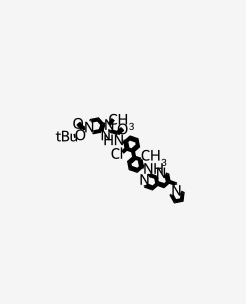 Cc1c(Nc2nccc3cc(CN4CCCC4)cnc23)cccc1-c1cccc(NC(=O)c2nc3c(n2C)CCN(C(=O)OC(C)(C)C)C3)c1Cl